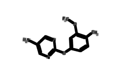 Cc1ccc(Oc2ncc(N)cn2)cc1OC(F)(F)F